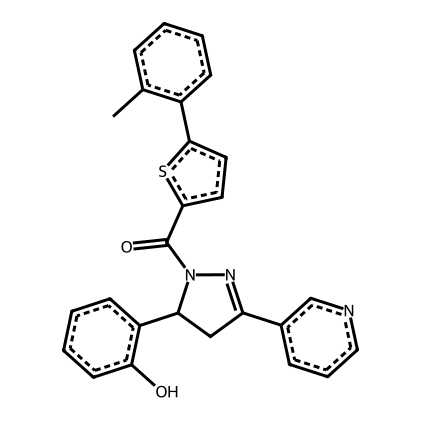 Cc1ccccc1-c1ccc(C(=O)N2N=C(c3cccnc3)CC2c2ccccc2O)s1